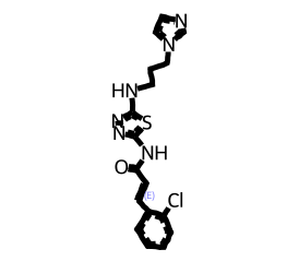 O=C(/C=C/c1ccccc1Cl)Nc1nnc(NCCCn2ccnc2)s1